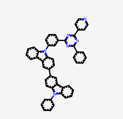 c1ccc(-c2nc(-c3ccncc3)nc(-c3cccc(-n4c5ccccc5c5cc(-c6ccc7c(c6)c6ccccc6n7-c6ccccc6)ccc54)c3)n2)cc1